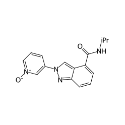 CC(C)NC(=O)c1cccc2nn(-c3ccc[n+]([O-])c3)cc12